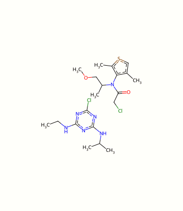 CCNc1nc(Cl)nc(NC(C)C)n1.COCC(C)N(C(=O)CCl)c1c(C)csc1C